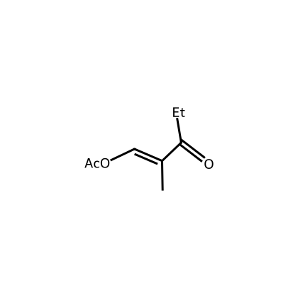 CCC(=O)C(C)=COC(C)=O